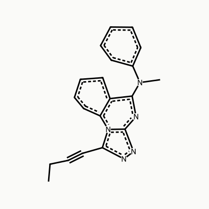 CCC#Cc1nnc2nc(N(C)c3ccccc3)c3ccccc3n12